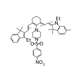 CCC1=C(/C=C/C2=C(N3CCN(S(=O)(=O)c4ccc([N+](=O)[O-])cc4)CC3)C(=C/C=C3/N(CC)c4cc(C)ccc4C3(C)C)/CCC2)C(C)(C)c2ccccc21